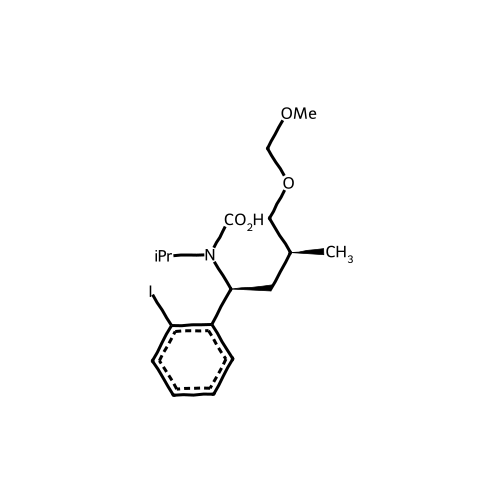 COCOC[C@@H](C)C[C@@H](c1ccccc1I)N(C(=O)O)C(C)C